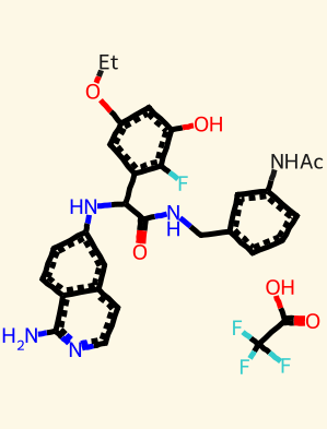 CCOc1cc(O)c(F)c(C(Nc2ccc3c(N)nccc3c2)C(=O)NCc2cccc(NC(C)=O)c2)c1.O=C(O)C(F)(F)F